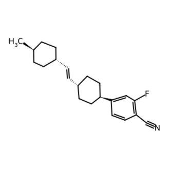 C[C@H]1CC[C@H](C=C[C@H]2CC[C@H](c3ccc(C#N)c(F)c3)CC2)CC1